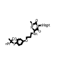 CCCCCCCn1c(=O)c(NCCCOc2ccc(SC(C)(CCC)C(=O)O)cc2)nn(C)c1=O